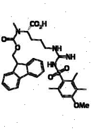 COc1cc(C)c(S(=O)(=O)NC(=N)NCCC[C@@H](C(=O)O)N(C)C(=O)OCC2c3ccccc3-c3ccccc32)c(C)c1C